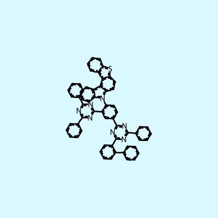 c1ccc(-c2nc(-c3ccc(-n4c5ccccc5c5c6c(ccc54)sc4ccccc46)c(-c4nc(-c5ccccc5)nc(-c5ccccc5)n4)c3)nc(-c3ccccc3-c3ccccc3)n2)cc1